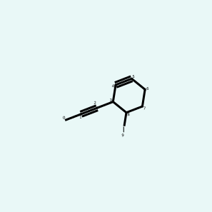 CC#CC1C#CCCC1I